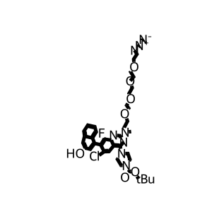 CN(CCOCCOCCOCCOCCN=[N+]=[N-])c1nc(N2CCN(C(=O)OC(C)(C)C)CC2)c2cc(Cl)c(-c3cc(O)cc4ccccc34)c(F)c2n1